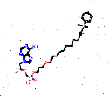 C[C@H](Cn1cnc2c(N)ncnc21)OCP(=O)(O)OCCCOCCCCCCCCCC#C[Si](C)(C)c1ccccc1